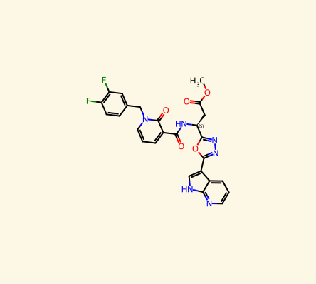 COC(=O)C[C@H](NC(=O)c1cccn(Cc2ccc(F)c(F)c2)c1=O)c1nnc(-c2c[nH]c3ncccc23)o1